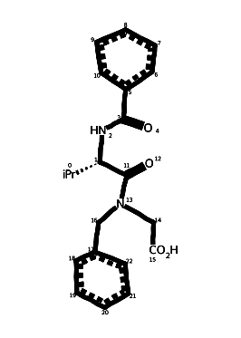 CC(C)[C@H](NC(=O)c1ccccc1)C(=O)N(CC(=O)O)Cc1ccccc1